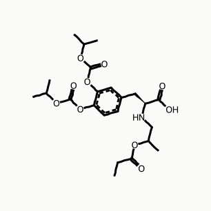 CCC(=O)OC(C)CN[C@@H](Cc1ccc(OC(=O)OC(C)C)c(OC(=O)OC(C)C)c1)C(=O)O